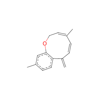 C=C1/C=C\C(C)=C/COc2cc(C)ccc21